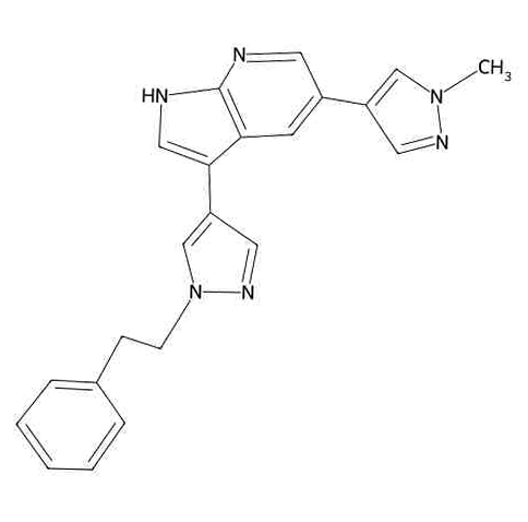 Cn1cc(-c2cnc3[nH]cc(-c4cnn(CCc5ccccc5)c4)c3c2)cn1